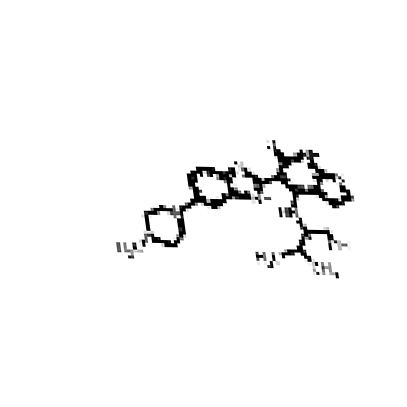 CC(C)[C@H](CO)Nc1c(-c2nc3ccc(N4CCN(C)CC4)cc3[nH]2)c(=O)[nH]c2sccc12